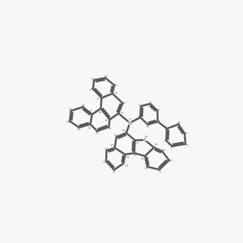 c1ccc(-c2cccc(N(c3cc4ccccc4c4c3ccc3ccccc34)c3cc4ccccc4c4c3sc3ccccc34)c2)cc1